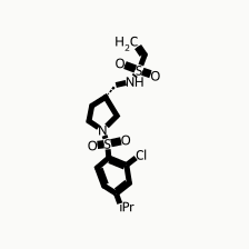 C=CS(=O)(=O)NC[C@H]1CCN(S(=O)(=O)c2ccc(C(C)C)cc2Cl)C1